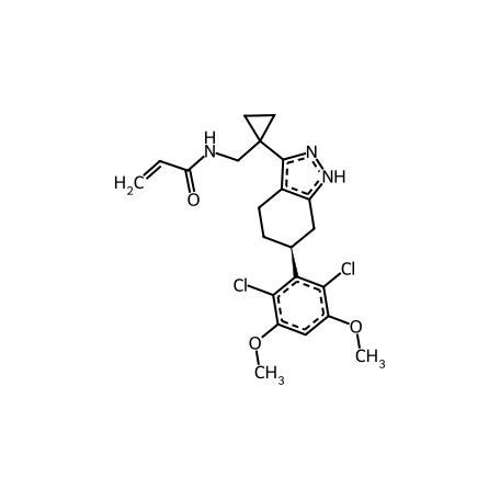 C=CC(=O)NCC1(c2n[nH]c3c2CC[C@H](c2c(Cl)c(OC)cc(OC)c2Cl)C3)CC1